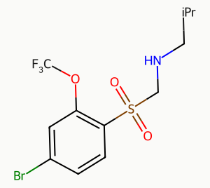 CC(C)CNCS(=O)(=O)c1ccc(Br)cc1OC(F)(F)F